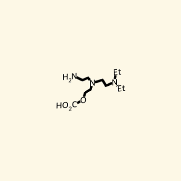 CCN(CC)CCN(CCN)CCOC(=O)O